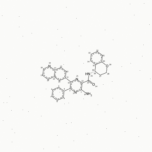 Nc1nc(-c2ccccc2)c(-c2ccc3ncccc3c2)nc1C(=O)N[C@H]1CCOc2ccccc21